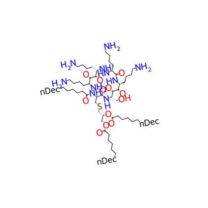 CCCCCCCCCCCCCCCC(=O)NC(CSC[C@@H](COC(=O)CCCCCCCCCCCCCCC)OC(=O)CCCCCCCCCCCCCCC)C(=O)N[C@@H](CO)C(=O)C(=O)[C@H](CCCCN)NC(=O)[C@H](CCCCN)NN[C@@H](CCCCN)C(=O)C(=O)[C@@H](N)CCCCN